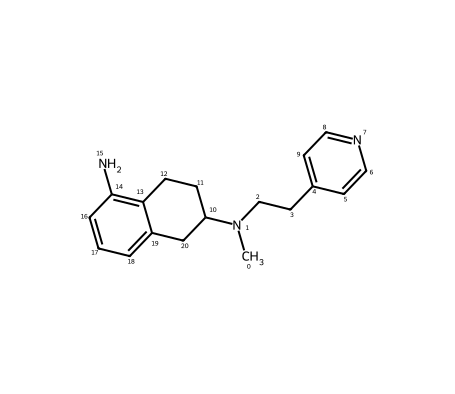 CN(CCc1ccncc1)C1CCc2c(N)cccc2C1